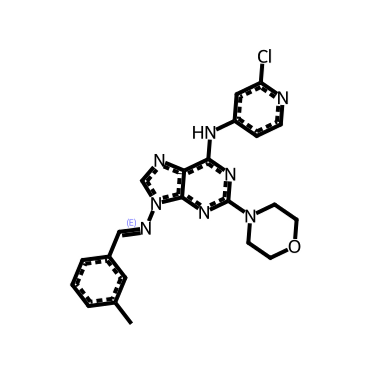 Cc1cccc(/C=N/n2cnc3c(Nc4ccnc(Cl)c4)nc(N4CCOCC4)nc32)c1